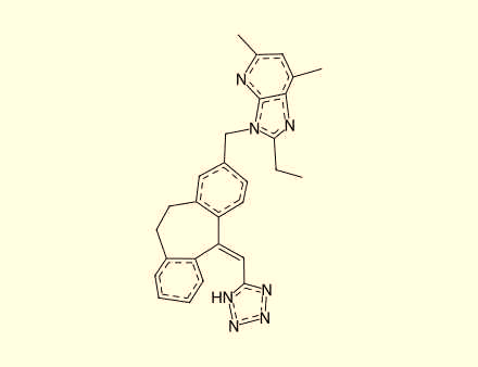 CCc1nc2c(C)cc(C)nc2n1Cc1ccc2c(c1)CCc1ccccc1C2=Cc1nnn[nH]1